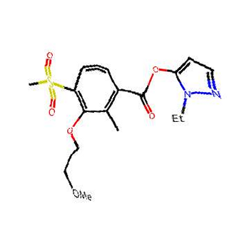 CCn1nccc1OC(=O)c1ccc(S(C)(=O)=O)c(OCCOC)c1C